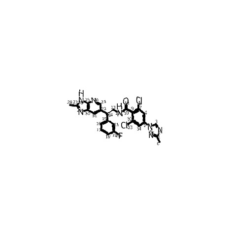 Cc1ncn(-c2cc(Cl)c(C(=O)NC[C@@H](c3cccc(F)c3)c3cnc4[nH]c(C)nc4c3)c(Cl)c2)n1